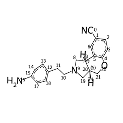 N#Cc1ccc2c(c1)[C@@H]1CN(CCc3ccc(N)cc3)C[C@H]1CO2